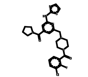 O=C(c1cc(CN2CCN(C(=O)c3cccc(Cl)c3F)CC2)nc(Nc2nccs2)c1)N1CCCC1